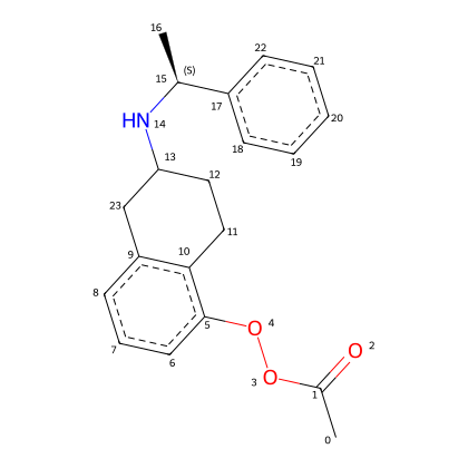 CC(=O)OOc1cccc2c1CCC(N[C@@H](C)c1ccccc1)C2